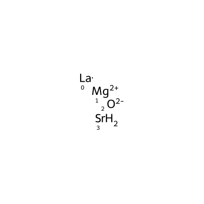 [La].[Mg+2].[O-2].[SrH2]